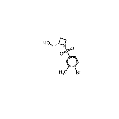 Cc1cc(S(=O)(=O)N2CC[C@H]2CO)ccc1Br